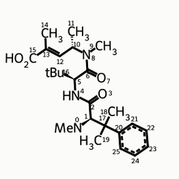 CN[C@@H](C(=O)N[C@H](C(=O)N(C)[C@@H](C)/C=C(\C)C(=O)O)C(C)(C)C)C(C)(C)c1ccccc1